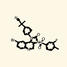 Cc1ccc(S(=O)(=O)n2c(=O)n(-c3ccc(C(C)(C)C#N)cc3)c3c4cc(Br)ccc4ncc32)cc1F